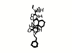 CC[C@H](NC)C(=O)N[C@H]1C(=O)N2CC3(CCCCC13)[C@H]1CN(CCc3ccccc3)C(=O)[C@H]12